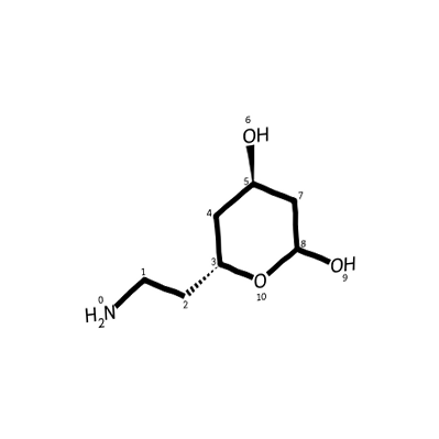 NCC[C@@H]1C[C@@H](O)CC(O)O1